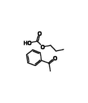 CC(=O)c1ccccc1.CCCOC(=O)O